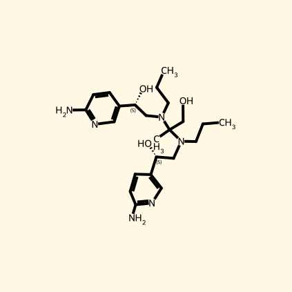 CCCN(C[C@@H](O)c1ccc(N)nc1)C(C)(CO)N(CCC)C[C@@H](O)c1ccc(N)nc1